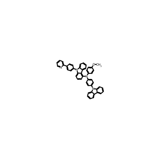 COc1ccc(N(c2ccc(-n3c4ccccc4c4ccccc43)cc2)c2cccc3c2c2ccccc2n3-c2ccc(-c3ccccn3)cc2)cc1